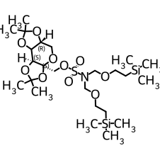 CC1(C)OC2[C@@H](CO[C@@]3(COS(=O)(=O)N(COCC[Si](C)(C)C)COCC[Si](C)(C)C)OC(C)(C)O[C@@H]23)O1